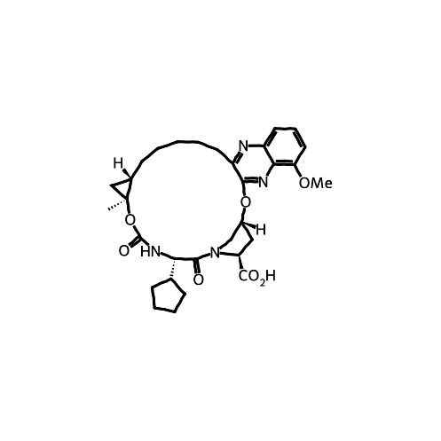 COc1cccc2nc3c(nc12)O[C@@H]1C[C@@H](C(=O)O)N(C1)C(=O)[C@H](C1CCCC1)NC(=O)O[C@@]1(C)C[C@@H]1CCCCC3